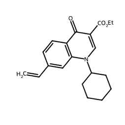 C=Cc1ccc2c(=O)c(C(=O)OCC)cn(C3CCCCC3)c2c1